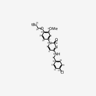 COc1cc(-n2ccc(NCc3ccc(Cl)cc3)nc2=O)ccc1OCC(C)(C)C